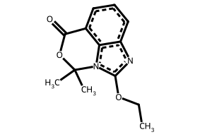 CCOc1nc2cccc3c2n1C(C)(C)OC3=O